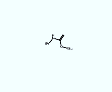 C=C(NC(C)C)OC(C)(C)C